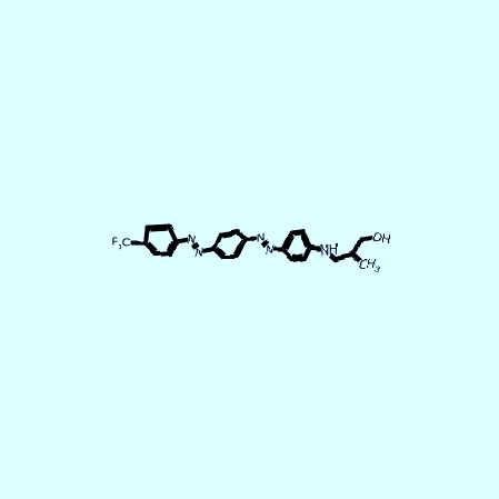 CC(CO)CNc1ccc(N=Nc2ccc(N=Nc3ccc(C(F)(F)F)cc3)cc2)cc1